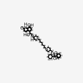 O=C(OCC1CCN(CCCCCCN2CCC(NCC(O)c3ccc(O)c4[nH]c(=O)ccc34)CC2)CC1)C(O)(c1ccccc1)C1CCCCC1